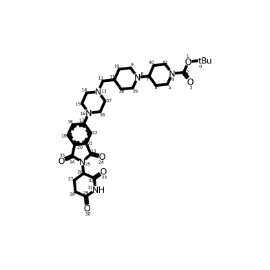 CC(C)(C)OC(=O)N1CCC(N2CCC(CN3CCN(c4ccc5c(c4)C(=O)N(C4CCC(=O)NC4=O)C5=O)CC3)CC2)CC1